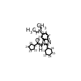 CCN(CC)c1ccc2nc(C3CCCCC3)n(NC(=O)C3CCCC3)c2c1